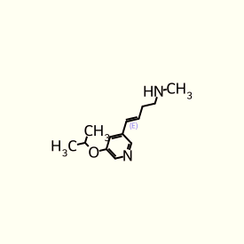 CNCC/C=C/c1cncc(OC(C)C)c1